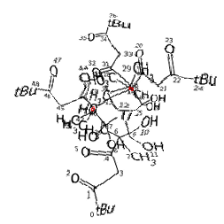 CC(C)(C)C(=O)CC(=O)C(C)(C)[C](O)(O)[Ti]([C](O)(O)C(C)(C)C(=O)CC(=O)C(C)(C)C)([C](O)(O)C(C)(C)C(=O)CC(=O)C(C)(C)C)[C](O)(O)C(C)(C)C(=O)CC(=O)C(C)(C)C